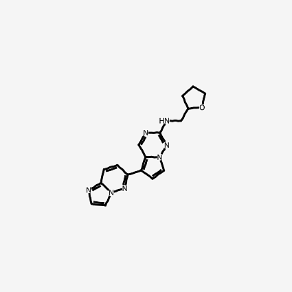 c1cn2nc(-c3ccn4nc(NCC5CCCO5)ncc34)ccc2n1